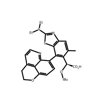 CCN(CC)c1nc2cc(C)c([C@H](OC(C)(C)C)C(=O)O)c(-c3ccc4c5c(ccnc35)CCO4)c2s1